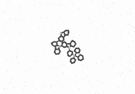 c1ccc([Si](c2ccccc2)(c2ccccc2)c2cccc(-n3c4ccccc4c4ccc(-n5c6ccccc6c6cccc(-c7ccc8c(c7)sc7ccccc78)c65)cc43)c2)cc1